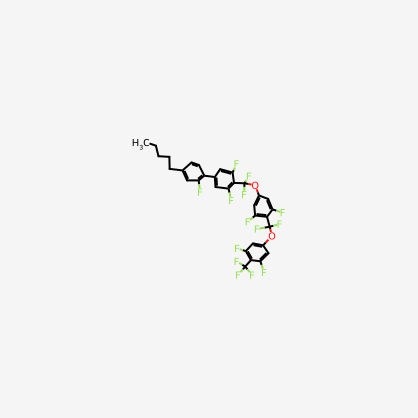 CCCCCc1ccc(-c2cc(F)c(C(F)(F)Oc3cc(F)c(C(F)(F)Oc4cc(F)c(C(F)(F)F)c(F)c4)c(F)c3)c(F)c2)c(F)c1